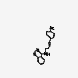 CC(=O)c1ccc(C#CCCNc2ncnc3ccccc23)cc1